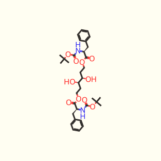 CC(C)(C)OC(=O)N[C@@H](Cc1ccccc1)C(=O)OCC[C@@H](O)[C@H](O)CCOC(=O)[C@H](Cc1ccccc1)NC(=O)OC(C)(C)C